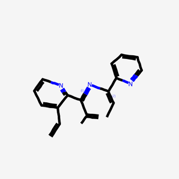 C=Cc1cccnc1/C(=N/C(=C\C)c1ccccn1)C(=C)C